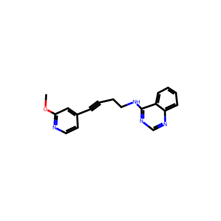 COc1cc(C#CCCNc2ncnc3ccccc23)ccn1